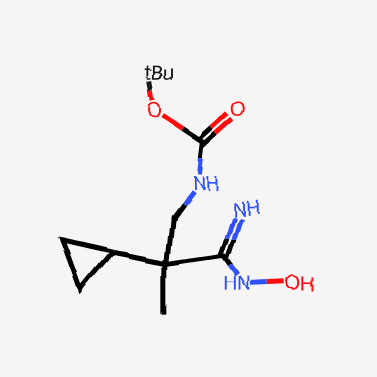 CC(C)(C)OC(=O)NCC(C)(C(=N)NO)C1CC1